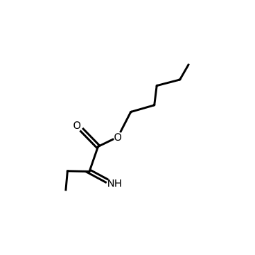 CCCCCOC(=O)C(=N)CC